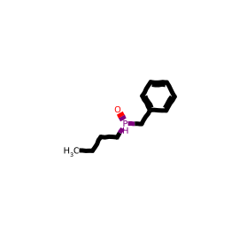 CCCC[PH](=O)Cc1ccccc1